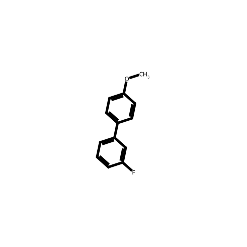 COc1ccc(-c2cc[c]c(F)c2)cc1